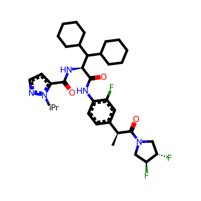 CC(C)n1nccc1C(=O)N[C@H](C(=O)Nc1ccc([C@H](C)C(=O)N2C[C@H](F)[C@@H](F)C2)cc1F)C(C1CCCCC1)C1CCCCC1